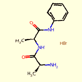 Br.C[C@H](N)C(=O)N[C@@H](C)C(=O)Nc1ccccc1